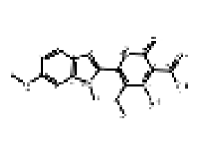 CCc1c(-c2cc3ccc(OC)cc3n2C)[nH]c(=O)c(C(=O)O)c1O